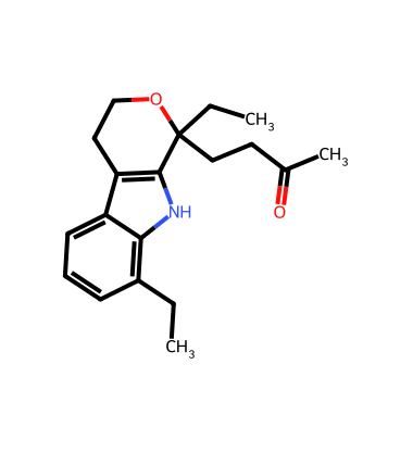 CCc1cccc2c3c([nH]c12)C(CC)(CCC(C)=O)OCC3